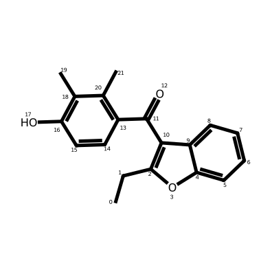 CCc1oc2ccccc2c1C(=O)c1ccc(O)c(C)c1C